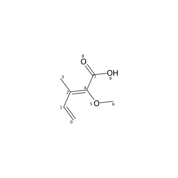 C=CC(C)=C(OC)C(=O)O